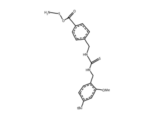 COc1cc(C(C)(C)C)ccc1CNC(=S)NCc1ccc(C(=O)OSN)cc1